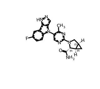 Cc1nc(N2C[C@H]3C[C@H]3[C@@H]2C(N)=O)ncc1-n1c2ccc(F)cc2c2[nH]ncc21